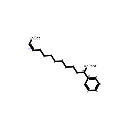 CCCCCCCC/C=C\CCCCCCCCC(CCCCC)c1ccccc1